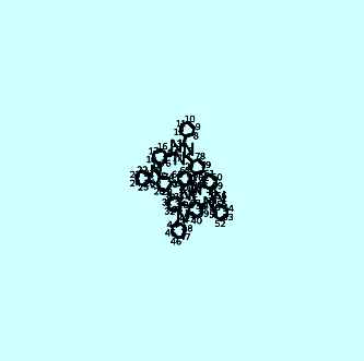 c1ccc(-c2nc(-c3ccccc3)nc(-c3cccc(-n4c5ccccc5c5cc(-c6ccc7c(c6)c6c8c(ccc6n7-c6ccccc6)n6c7ccccc7nc6c6ccccc6n6c7ccccc7nc86)ccc54)c3)n2)cc1